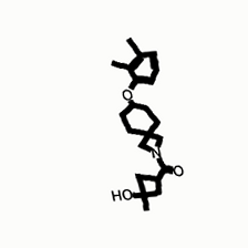 Cc1cccc(OC2CCC3(CC2)CN(C(=O)C2CC(C)(O)C2)C3)c1C